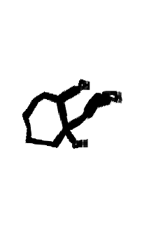 C#CC1(O)CCCCC1O